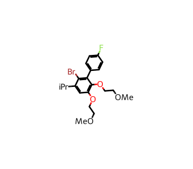 COCCOc1cc(C(C)C)c(Br)c(-c2ccc(F)cc2)c1OCCOC